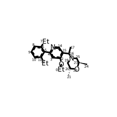 CCOc1cc(-c2c(CC)cccc2CC)ncc1C(C)N1C[C@@H](C)O[C@H](C)C1